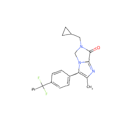 Cc1nc2n(c1-c1ccc(C(F)(F)C(C)C)cc1)CN(CC1CC1)C2=O